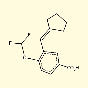 O=C(O)c1ccc(OC(F)F)c(C=C2CCCC2)c1